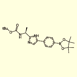 C[C@H](NC(=O)OC(C)(C)C)c1ncc(-c2ccc(B3OC(C)(C)C(C)(C)O3)cc2)[nH]1